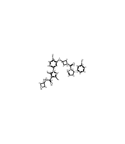 Cc1nn(-c2cc(OC3CN(C(=O)N4N=CC[C@H]4c4cccc(F)c4)C3)c(F)cn2)c(C)c1C(=O)NC1COC1